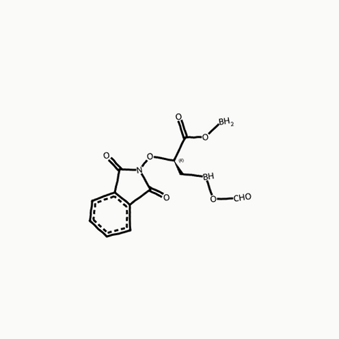 BOC(=O)[C@@H](CBOC=O)ON1C(=O)c2ccccc2C1=O